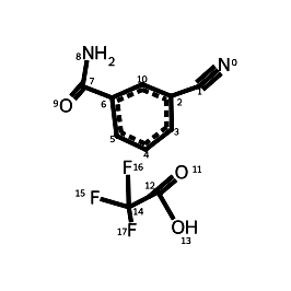 N#Cc1cccc(C(N)=O)c1.O=C(O)C(F)(F)F